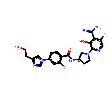 N=C(N)c1c(Cl)cnc(N2CC[C@@H](NC(=O)c3ccc(-n4cnc(CCO)c4)cc3Cl)C2)c1O